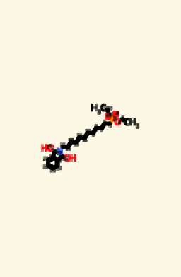 CCOP(=O)(CCCCCCCCCCCCN1C(O)c2ccccc2C1O)OCC